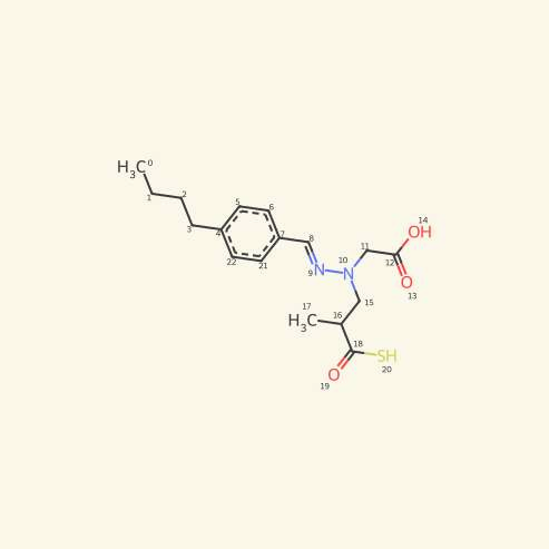 CCCCc1ccc(C=NN(CC(=O)O)CC(C)C(=O)S)cc1